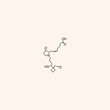 O=C(O)CCC/C=C\CC1C(Cl)CCN1CCCC(O)C1(CC2CC2)CCC1